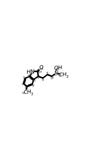 Cc1ccc2c(c1)C(CCCN(C)O)C(=O)N2